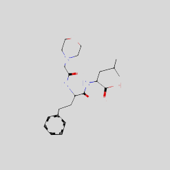 CC(C)CC(NC(=O)C(CCc1ccccc1)NC(=O)CN1CCOCC1)C(=O)O